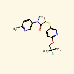 Cc1ccc(N2CC[C@@H](Sc3ccc(OCC(C)(C)F)nc3)C2=O)cn1